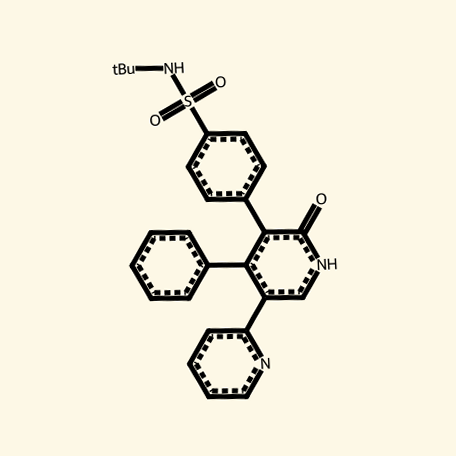 CC(C)(C)NS(=O)(=O)c1ccc(-c2c(-c3ccccc3)c(-c3ccccn3)c[nH]c2=O)cc1